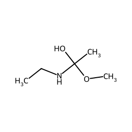 CCNC(C)(O)OC